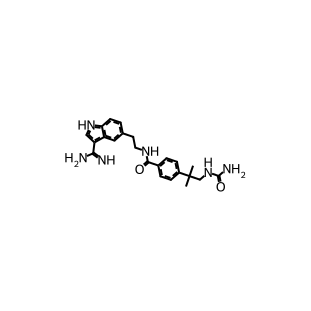 CC(C)(CNC(N)=O)c1ccc(C(=O)NCCc2ccc3[nH]cc(C(=N)N)c3c2)cc1